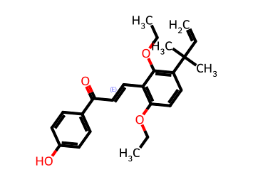 C=CC(C)(C)c1ccc(OCC)c(/C=C/C(=O)c2ccc(O)cc2)c1OCC